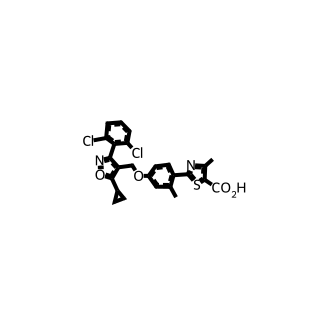 Cc1cc(OCc2c(-c3c(Cl)cccc3Cl)noc2C2CC2)ccc1-c1nc(C)c(C(=O)O)s1